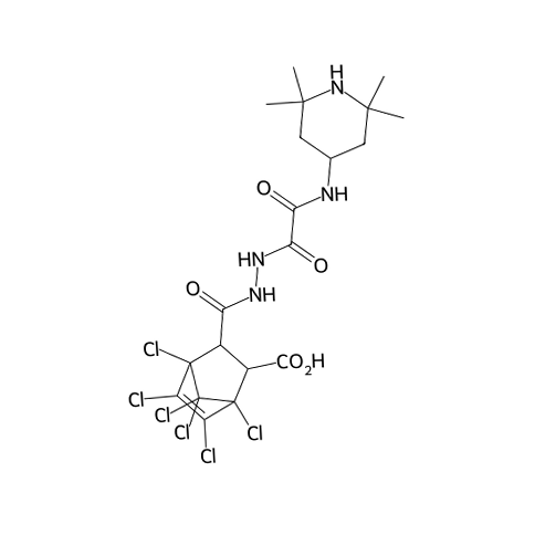 CC1(C)CC(NC(=O)C(=O)NNC(=O)C2C(C(=O)O)C3(Cl)C(Cl)=C(Cl)C2(Cl)C3(Cl)Cl)CC(C)(C)N1